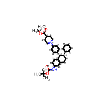 COC(OC)C1CCN(c2ccc([C@@H]3c4ccc(NC(=O)OC(C)(C)C)cc4CC[C@@H]3c3ccccc3)cc2)CC1